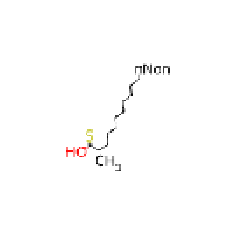 CCCCCCCCCCCCCCCCCCC(C)C(O)=S